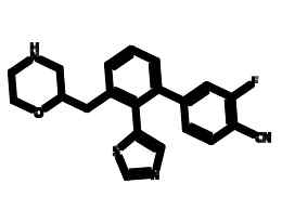 N#Cc1ccc(-c2cccc(CC3CNCCO3)c2-c2cncs2)cc1F